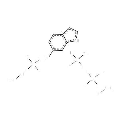 Brc1ccc2cc[nH]c2c1.CC.F[B-](F)(F)F.F[B-](F)(F)F.F[B-](F)(F)F.NF